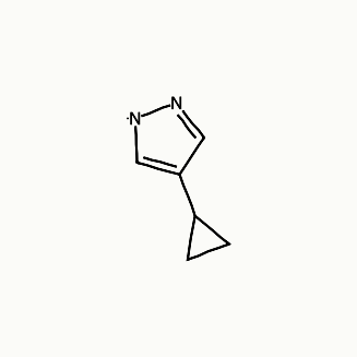 C1=N[N]C=C1C1CC1